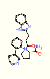 NC(=O)[C@@H]1CCC[N+]1(C(=O)CCc1nc2ccccc2[nH]1)c1ccccc1-c1cccnc1